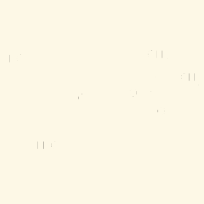 C=C(C)C(=O)OCC(CCC)CCCCC